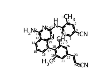 Cc1cc(C#N)cnc1Nc1nc(N)c2cccc(-c3c(C)cc(/C=C/C#N)cc3C)c2n1